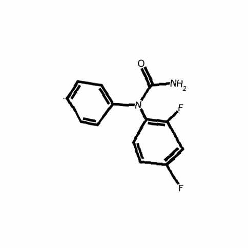 NC(=O)N(c1cc[c]cc1)c1ccc(F)cc1F